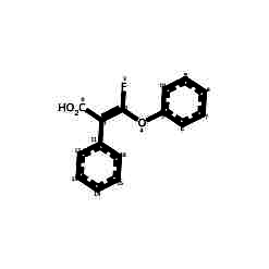 O=C(O)C(=C(F)Oc1ccccc1)c1ccccc1